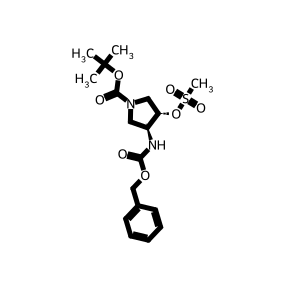 CC(C)(C)OC(=O)N1C[C@H](NC(=O)OCc2ccccc2)[C@@H](OS(C)(=O)=O)C1